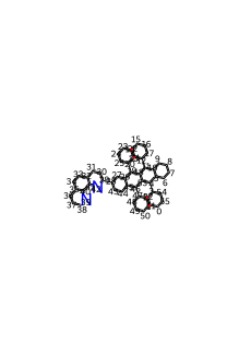 c1ccc(-c2c3ccccc3c(-c3ccccc3)c3c(-c4ccccc4)c4cc(-c5ccc6ccc7cccnc7c6n5)ccc4c(-c4ccccc4)c23)cc1